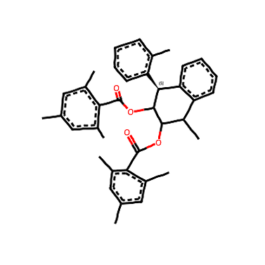 Cc1cc(C)c(C(=O)OC2C(C)c3ccccc3[C@H](c3ccccc3C)C2OC(=O)c2c(C)cc(C)cc2C)c(C)c1